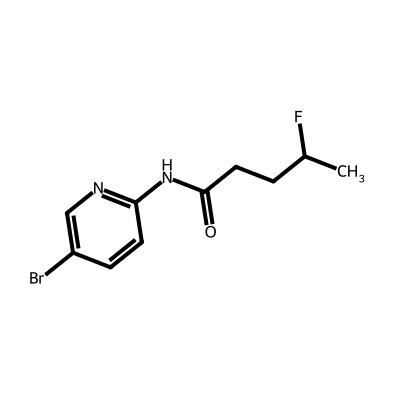 CC(F)CCC(=O)Nc1ccc(Br)cn1